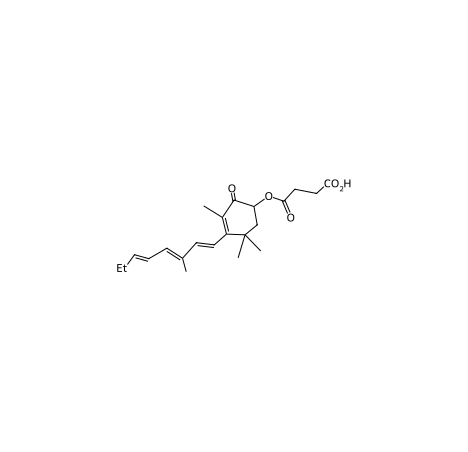 CC/C=C/C=C(C)/C=C/C1=C(C)C(=O)C(OC(=O)CCC(=O)O)CC1(C)C